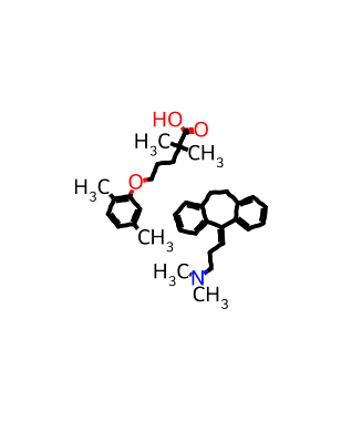 CN(C)CCC=C1c2ccccc2CCc2ccccc21.Cc1ccc(C)c(OCCCC(C)(C)C(=O)O)c1